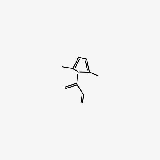 C=CC(=C)n1c(C)ccc1C